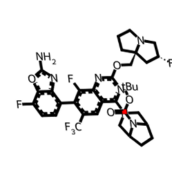 CC(C)(C)OC(=O)N1C2CCC1CN(c1nc(OC[C@@]34CCCN3C[C@H](F)C4)nc3c(F)c(-c4ccc(F)c5oc(N)nc45)c(C(F)(F)F)cc13)C2